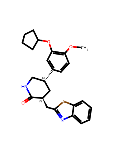 COc1ccc([C@H]2CNC(=O)[C@H](Cc3nc4ccccc4s3)C2)cc1OC1CCCC1